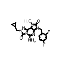 Cn1c(=O)n(Cc2ccc(F)cc2F)c2nc(N)n3c(=O)n(CC4CC4)nc3c21